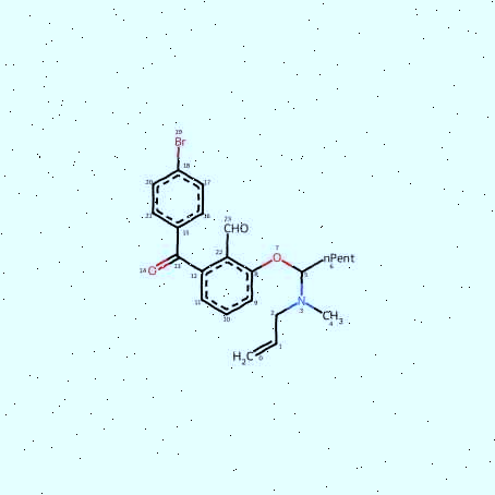 C=CCN(C)C(CCCCC)Oc1cccc(C(=O)c2ccc(Br)cc2)c1C=O